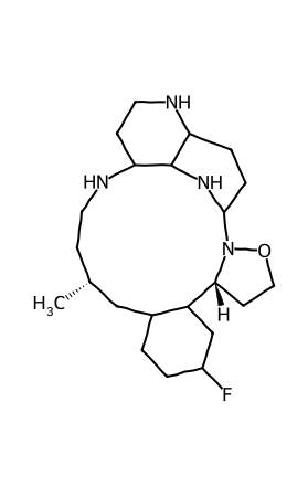 C[C@@H]1CCNC2CCNC3CCC(NC23)N2OCC[C@@H]2C2CC(F)CCC2C1